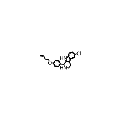 C=CCCOc1ccc(C2NCCc3c2[nH]c2ccc(Cl)cc32)cc1